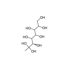 CC(O)(O)[C@H](O)C(O)C(O)C(O)C(O)CO